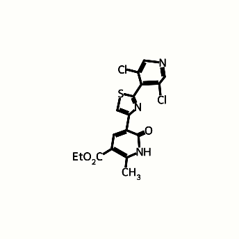 CCOC(=O)c1cc(-c2csc(-c3c(Cl)cncc3Cl)n2)c(=O)[nH]c1C